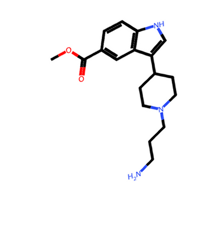 COC(=O)c1ccc2[nH]cc(C3CCN(CCCN)CC3)c2c1